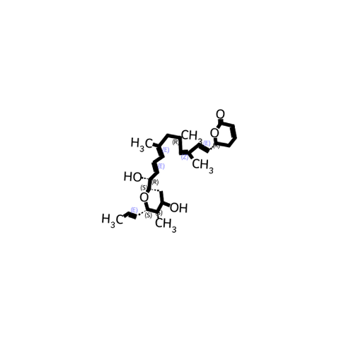 C/C=C/[C@@H]1O[C@H]([C@H](O)/C=C/C=C(\C)C[C@@H](C)/C=C(C)\C=C\[C@H]2CC=CC(=O)O2)CC(O)[C@@H]1C